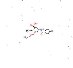 C#CCC(CC(COCOCC)NC(=O)c1ccc(Br)cc1)C(=O)O